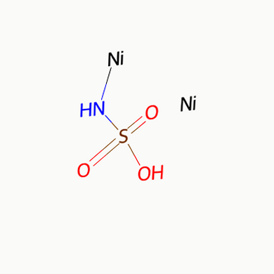 O=S(=O)(O)[NH][Ni].[Ni]